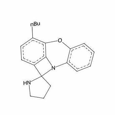 CCCCc1ccc2c3c1Oc1ccccc1N3C21CCCN1